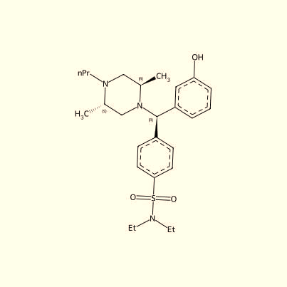 CCCN1C[C@@H](C)N([C@H](c2ccc(S(=O)(=O)N(CC)CC)cc2)c2cccc(O)c2)C[C@@H]1C